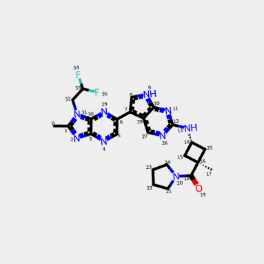 Cc1nc2ncc(-c3c[nH]c4nc(N[C@H]5C[C@](C)(C(=O)N6CCCC6)C5)ncc34)nc2n1CC(F)F